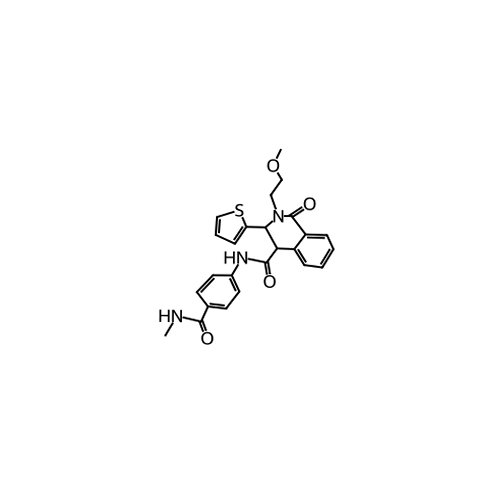 CNC(=O)c1ccc(NC(=O)C2c3ccccc3C(=O)N(CCOC)C2c2cccs2)cc1